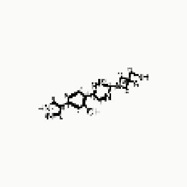 Oc1cc(-c2cn[nH]c2)ccc1-c1cnc(N2CC3(CNC3)C2)nn1